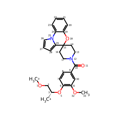 COC[C@@H](C)Oc1ccc(C(=O)N2CCC3(CC2)Oc2ccccc2-n2cccc23)cc1OC